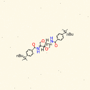 CCCC[Si](C)(C)c1ccc(C(=O)N[C@H]2CO[C@H]3[C@@H]2OC[C@H]3NC(=O)c2ccc([Si](C)(C)CCCC)cc2)cc1